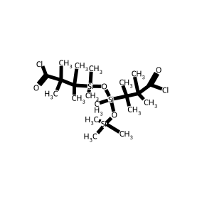 CC(C)(C(=O)Cl)C(C)(C)[Si](C)(C)O[Si](C)(O[Si](C)(C)C)C(C)(C)C(C)(C)C(=O)Cl